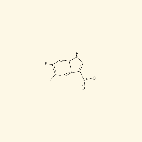 O=[N+]([O-])c1c[nH]c2cc(F)c(F)cc12